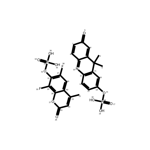 CC1(C)C2=CC(=O)C=CC2=Nc2ccc(OP(=O)(O)O)cc21.Cc1cc(=O)oc2c(F)c(OP(=O)(O)O)c(F)cc12